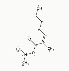 CC(=CCCCO)C(=O)ON(C)C